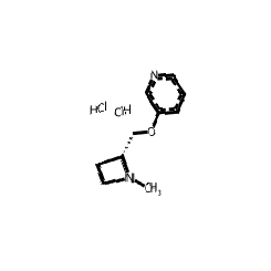 CN1CC[C@@H]1COc1cccnc1.Cl.Cl